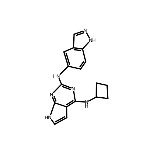 c1cc2c(NC3CCC3)nc(Nc3ccc4[nH]ncc4c3)nc2[nH]1